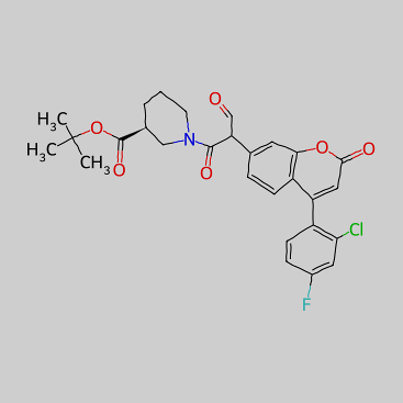 CC(C)(C)OC(=O)[C@H]1CCCN(C(=O)C(C=O)c2ccc3c(-c4ccc(F)cc4Cl)cc(=O)oc3c2)C1